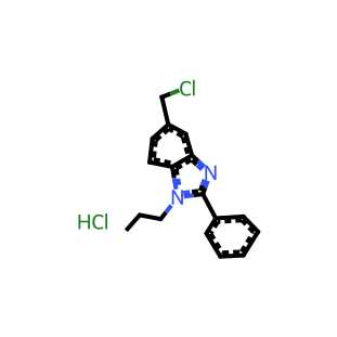 CCCn1c(-c2ccccc2)nc2cc(CCl)ccc21.Cl